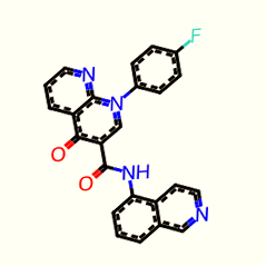 O=C(Nc1cccc2cnccc12)c1cn(-c2ccc(F)cc2)c2ncccc2c1=O